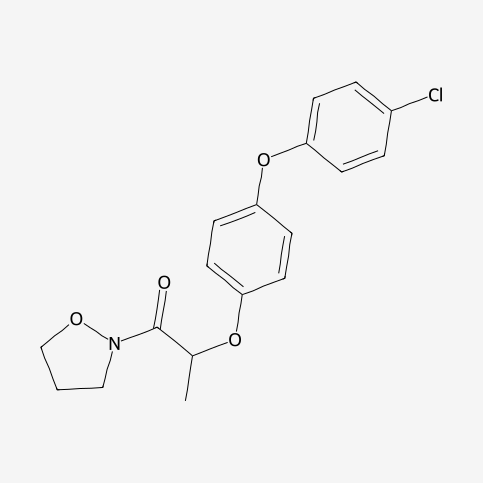 CC(Oc1ccc(Oc2ccc(Cl)cc2)cc1)C(=O)N1CCCO1